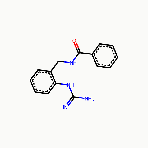 N=C(N)Nc1ccccc1CNC(=O)c1ccccc1